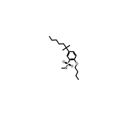 CCCCCC(C)(C)c1ccc(OCCCC)c(S(=O)(=O)[N]C)c1